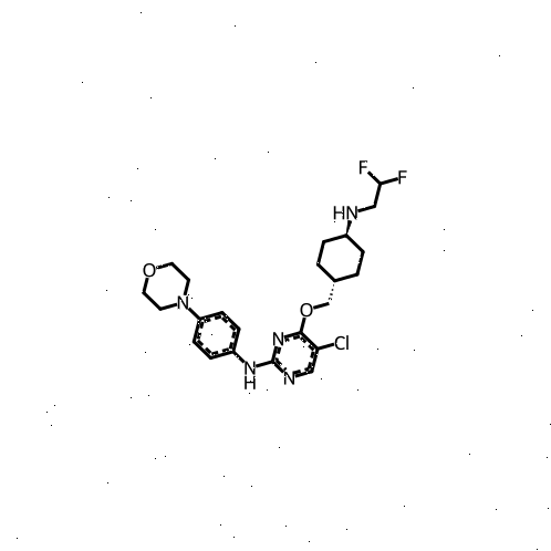 FC(F)CN[C@H]1CC[C@H](COc2nc(Nc3ccc(N4CCOCC4)cc3)ncc2Cl)CC1